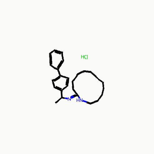 CC(/N=C1\CCCCCCCCCCCN1)c1ccc(-c2ccccc2)cc1.Cl